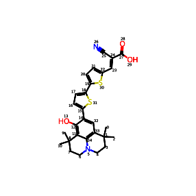 CC1(C)CCN2CCC(C)(C)c3c(O)c(-c4ccc(-c5ccc(/C=C(\C#N)C(=O)O)s5)s4)cc1c32